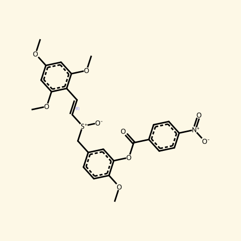 COc1cc(OC)c(/C=C/[S+]([O-])Cc2ccc(OC)c(OC(=O)c3ccc([N+](=O)[O-])cc3)c2)c(OC)c1